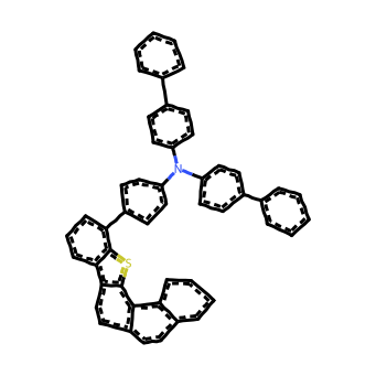 c1ccc(-c2ccc(N(c3ccc(-c4ccccc4)cc3)c3ccc(-c4cccc5c4sc4c5ccc5ccc6ccccc6c54)cc3)cc2)cc1